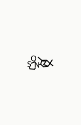 CC1=C2CC(CC1N1CCSC1=O)C2(C)C